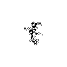 CO[C@]1(n2cnc3c(N)ncnc32)CO[C@H](CCS(=O)(=O)CP(=O)(O)O)[C@H]1OC(C)C